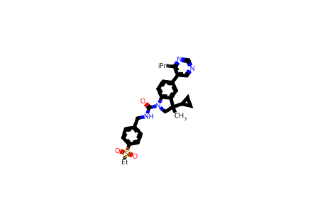 CCS(=O)(=O)c1ccc(CNC(=O)N2CC(C)(C3CC3)c3cc(-c4cncnc4C(C)C)ccc32)cc1